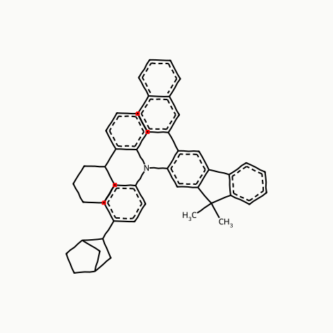 CC1(C)c2ccccc2-c2cc(-c3ccc4ccccc4c3)c(N(c3ccc(C4CC5CCC4C5)cc3)c3ccccc3C3CCCCC3)cc21